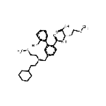 CSCC[C@H](NC(=O)c1ccc(CN(CCSC)CCC2CCCCC2)cc1-c1ccccc1C)C(=O)O